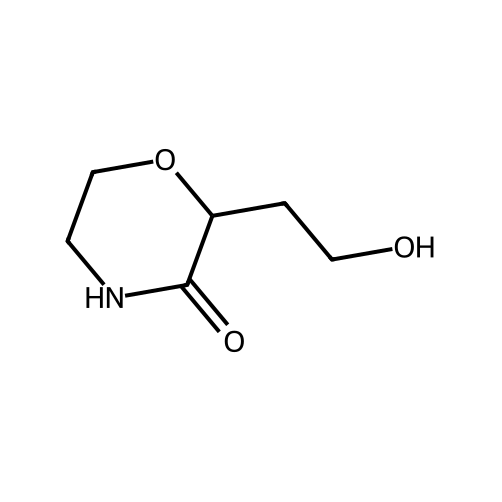 O=C1NCCOC1CCO